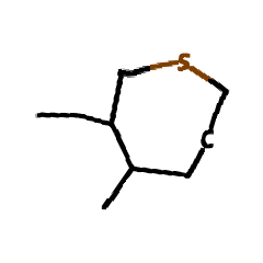 CC1CCCSCC1C